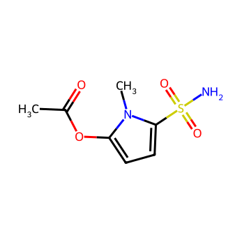 CC(=O)Oc1ccc(S(N)(=O)=O)n1C